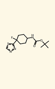 CC(C)(C)OC(=O)NC1CCC(F)(c2nncs2)CC1